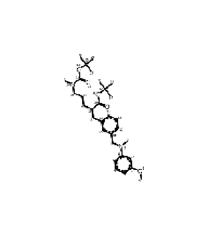 COc1cccc(N(C)Cc2cccc(CC(CCCN(C)C(=O)OC(C)(C)C)C(=O)OC(C)(C)C)c2)c1